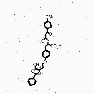 COc1ccc(C(=O)/C=C(/C)NC(Cc2ccc(OCCc3nc(-c4ccccc4)oc3C)cc2)C(=O)O)cc1